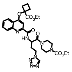 CCOC(=O)N1CCN(C(=O)C(CCn2cnnn2)NC(=O)c2cc(OC3(C(=O)OCC)CCC3)c3ccccc3n2)CC1